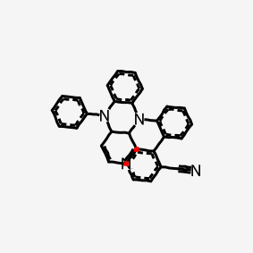 N#Cc1ccncc1-c1ccccc1N1c2ccccc2N(c2ccccc2)C2C=CC=CC21